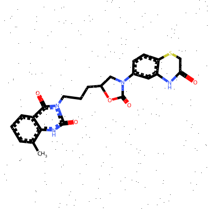 Cc1cccc2c(=O)n(CCCC3CN(c4ccc5c(c4)NC(=O)CS5)C(=O)O3)c(=O)[nH]c12